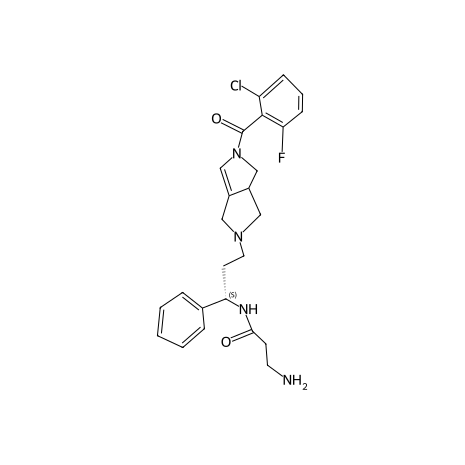 NCCC(=O)N[C@@H](CCN1CC2=CN(C(=O)c3c(F)cccc3Cl)CC2C1)c1ccccc1